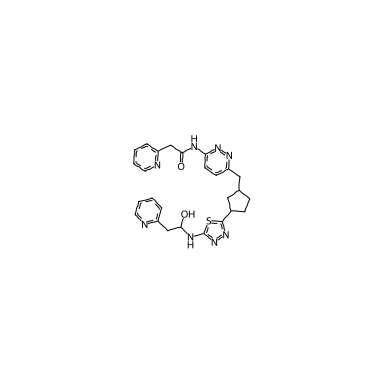 O=C(Cc1ccccn1)Nc1ccc(CC2CCC(c3nnc(NC(O)Cc4ccccn4)s3)C2)nn1